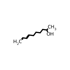 C=CC=CCCCCC(C)O